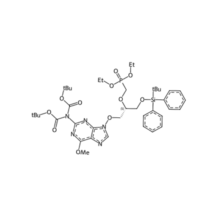 CCOP(=O)(CO[C@@H](COn1cnc2c(OC)nc(N(C(=O)OC(C)(C)C)C(=O)OC(C)(C)C)nc21)CO[Si](c1ccccc1)(c1ccccc1)C(C)(C)C)OCC